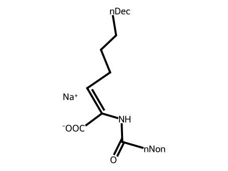 CCCCCCCCCCCCCC=C(NC(=O)CCCCCCCCC)C(=O)[O-].[Na+]